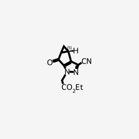 CCOC(=O)Cn1nc(C#N)c2c1C(=O)C1C[C@H]21